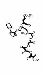 CCOC(=O)CCC(=O)O[C@H](COc1nsnc1N1CCOCC1)CN(C(=O)[C@H](C)OC(=O)COC(=O)[C@H](C)OC(=O)[C@H](C)OC(C)=O)C(C)(C)C